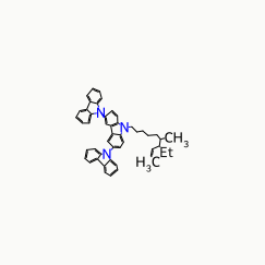 C/C=C\C(CC)C(C)CCCCCn1c2ccc(-n3c4ccccc4c4ccccc43)cc2c2cc(-n3c4ccccc4c4ccccc43)ccc21